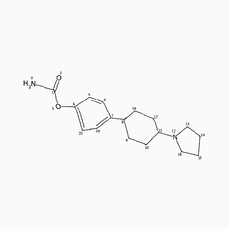 NC(=O)Oc1ccc(C2CCC(N3CCCC3)CC2)cc1